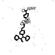 CC=C(c1ccccc1)C(c1ccccc1)c1ccc(C=CC(=O)NS(=O)(=O)c2ccc(C(=O)NC)cc2)cc1